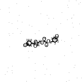 CC12CCC(COC(=O)C(=O)OCC3COC(C4CCC5(C)OC5C4)O3)CC1O2